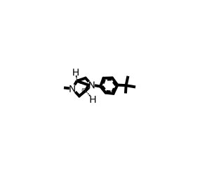 CN1C[C@H]2C[C@@H]1CN2c1ccc(C(C)(C)C)cc1